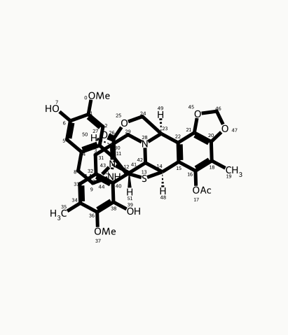 COc1cc2c(cc1O)CCN[C@]21CS[C@@H]2c3c(OC(C)=O)c(C)c4c(c3[C@H](COC1=O)N1C[C@@H]3Cc5cc(C)c(OC)c(O)c5[C@@H](C21)N3C)OCO4